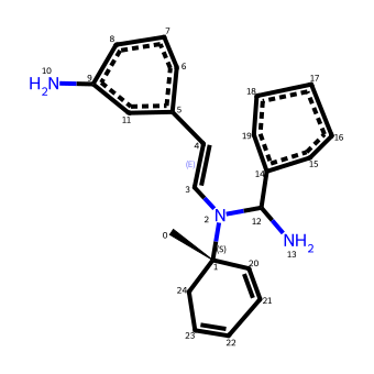 C[C@@]1(N(/C=C/c2cccc(N)c2)C(N)c2ccccc2)C=CC=CC1